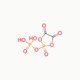 O=C1OP(=O)(OP(=O)(O)O)OC1=O